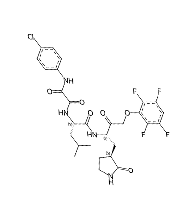 CC(C)C[C@H](NC(=O)C(=O)Nc1ccc(Cl)cc1)C(=O)N[C@@H](C[C@@H]1CCNC1=O)C(=O)COc1c(F)c(F)cc(F)c1F